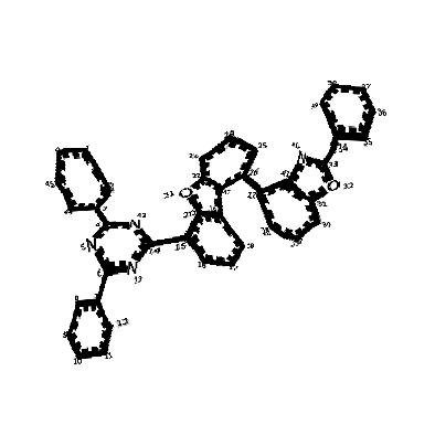 c1ccc(-c2nc(-c3ccccc3)nc(-c3cccc4c3oc3cccc(-c5cccc6oc(-c7ccccc7)nc56)c34)n2)cc1